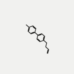 C=CCCc1ccc(-c2ccc(C)cc2)cc1